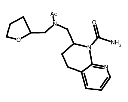 CC(=O)N(CC1CCCO1)CC1CCc2cccnc2N1C(N)=O